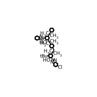 CC(C)(C)c1cc(C(C)(C)Cc2ccc(C(C)(C)c3cc(C(C)(C)c4ccccc4)cc(-n4nc5ccccc5n4)c3O)cc2)cc(-n2nc3ccc(Cl)cc3n2)c1O